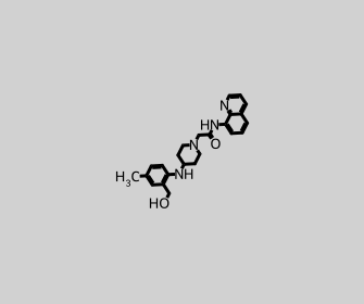 Cc1ccc(NC2CCN(CC(=O)Nc3cccc4cccnc34)CC2)c(CO)c1